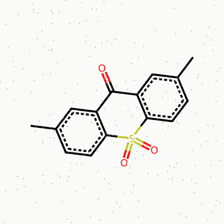 Cc1ccc2c(c1)C(=O)c1cc(C)ccc1S2(=O)=O